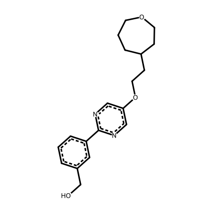 OCc1cccc(-c2ncc(OCCC3CCCOCC3)cn2)c1